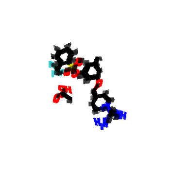 CC(=O)O.Cc1cc(OCC2CCN(C(=N)N)CC2)cc(OS(=O)(=O)c2ccccc2C(F)(F)F)c1